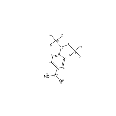 CC(C)(C)CC(c1ccc(P(O)O)cc1)C(C)(C)C